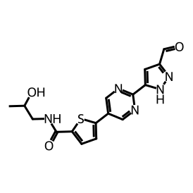 CC(O)CNC(=O)c1ccc(-c2cnc(-c3cc(C=O)n[nH]3)nc2)s1